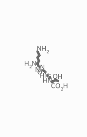 CC(O)C(NSNCc1nc(C(N)CCCCN)no1)C(=O)O